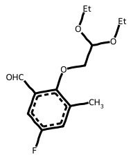 CCOC(COc1c(C)cc(F)cc1C=O)OCC